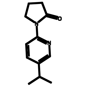 CC(C)c1ccc(N2CCCC2=O)nc1